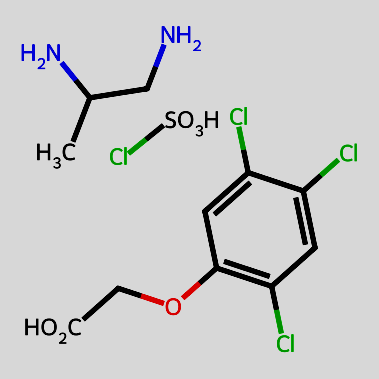 CC(N)CN.O=C(O)COc1cc(Cl)c(Cl)cc1Cl.O=S(=O)(O)Cl